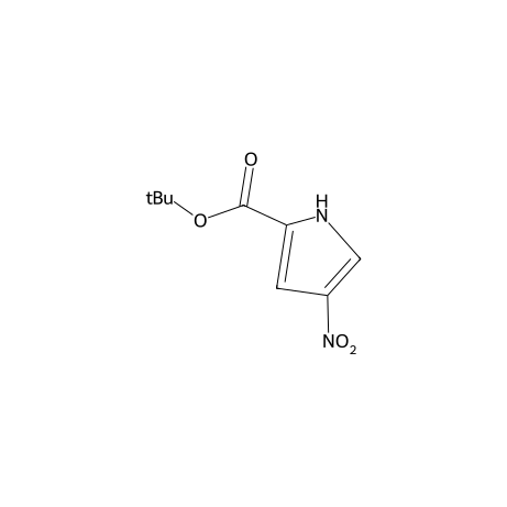 CC(C)(C)OC(=O)c1cc([N+](=O)[O-])c[nH]1